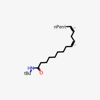 CCCCC/C=C\C/C=C\CCCCCCCC(=O)NC(C)(C)C